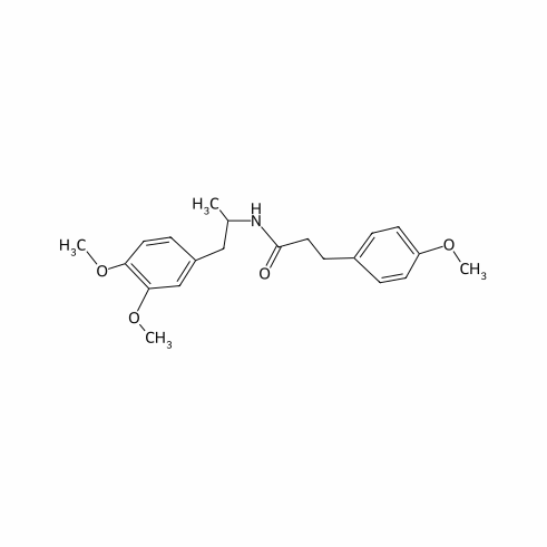 COc1ccc(CCC(=O)NC(C)Cc2ccc(OC)c(OC)c2)cc1